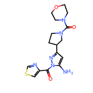 Nc1cc(C2CCN(C(=O)N3CCOCC3)C2)nn1C(=O)c1cscn1